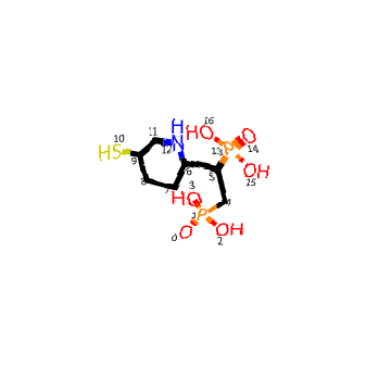 O=P(O)(O)CC(C1CCC(S)CN1)P(=O)(O)O